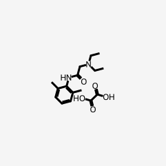 CCN(CC)CC(=O)Nc1c(C)cccc1C.O=C(O)C(=O)O